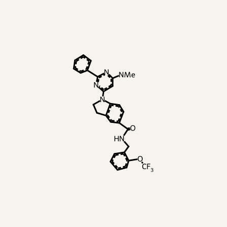 CNc1cc(N2CCc3cc(C(=O)NCc4ccccc4OC(F)(F)F)ccc32)nc(-c2ccccc2)n1